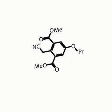 COC(=O)c1cc(OC(C)C)cc(C(=O)OC)c1CC#N